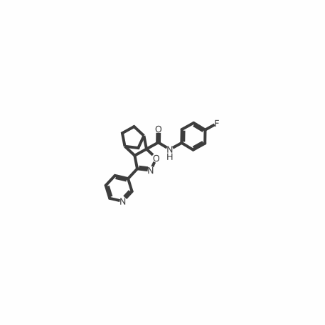 O=C(Nc1ccc(F)cc1)C12ON=C(c3cccnc3)C1C1CCC2C1